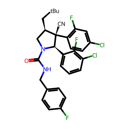 CC(C)(C)C[C@@H]1CN(C(=O)NCc2ccc(F)cc2)[C@H](c2cccc(Cl)c2F)[C@@]1(C#N)c1ccc(Cl)cc1F